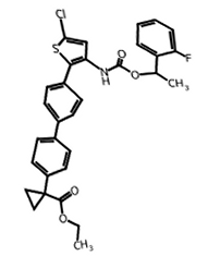 CCOC(=O)C1(c2ccc(-c3ccc(-c4sc(Cl)cc4NC(=O)OC(C)c4ccccc4F)cc3)cc2)CC1